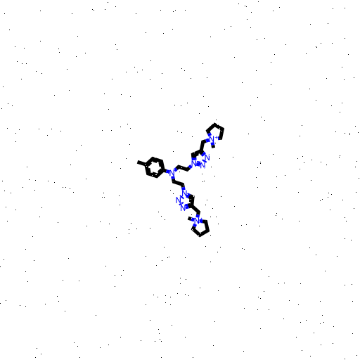 Cc1ccc(N(CCn2cc(C[N+]3(C)CCCC3)nn2)CCn2cc(C[N+]3(C)CCCC3)nn2)cc1